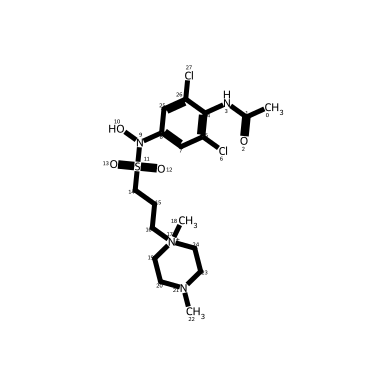 CC(=O)Nc1c(Cl)cc(N(O)S(=O)(=O)CCC[N+]2(C)CCN(C)CC2)cc1Cl